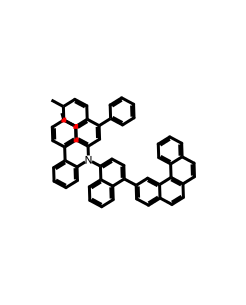 CC1C=CC(c2ccccc2N(c2cc3c(c(-c4ccccc4)c2)C=CC(C)C3)c2ccc(-c3ccc4ccc5ccc6ccccc6c5c4c3)c3ccccc23)=CC1